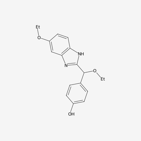 CCOc1ccc2[nH]c(C(OCC)c3ccc(O)cc3)nc2c1